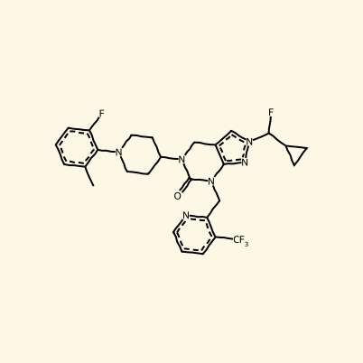 Cc1cccc(F)c1N1CCC(N2Cc3cn(C(F)C4CC4)nc3N(Cc3ncccc3C(F)(F)F)C2=O)CC1